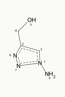 Nn1cc(CO)nn1